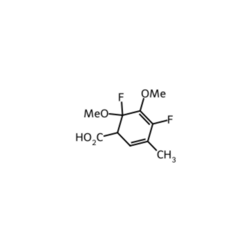 COC1=C(F)C(C)=CC(C(=O)O)C1(F)OC